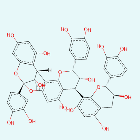 Oc1cc(O)c2c(c1)O[C@@]1(c3ccc(O)c(O)c3)Oc3cc(O)c4c(c3[C@@H]2[C@H]1O)O[C@H](c1ccc(O)c(O)c1)[C@H](O)[C@H]4c1c(O)cc(O)c2c1O[C@H](c1ccc(O)c(O)c1)[C@@H](O)C2